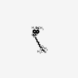 CN(C)c1cccc2c(S(=O)(=O)OCCCCCCCCC(=O)OC(C)(C)C#N)cccc12